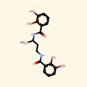 O=C(NCCC(NC(=O)c1cccc(O)c1O)C(=O)O)c1cccc(O)c1O